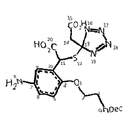 CCCCCCCCCCCCOc1ccc(N)cc1C(SC1(CC(=O)O)N=NN=N1)C(=O)O